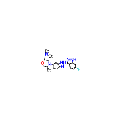 CCC1COC(CN(CC)CC)CN1c1ccc2nc(-c3n[nH]c4cc(F)ccc34)[nH]c2c1